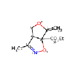 C=C1OCC2C(C)=NOC12C(=O)OCC